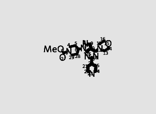 COC(=O)N1CCC(n2ncc3c(N4CCOCC4)nc(-c4ccncc4)nc32)CC1